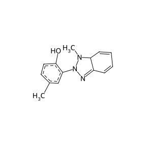 Cc1ccc(O)c(N2N=C3C=CC=CC3N2C)c1